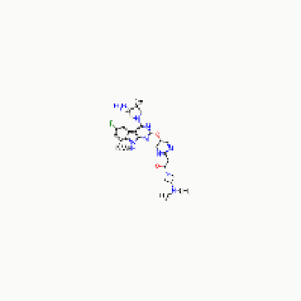 CNc1cc(F)cc2c1[nH]c1nc(Oc3cnc(CC(=O)N4CC(N(C)C)C4)nc3)nc(N3C[C@H](N)C4(CC4)C3)c12